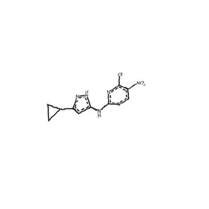 O=[N+]([O-])c1ccc(Nc2cc(C3CC3)n[nH]2)nc1Cl